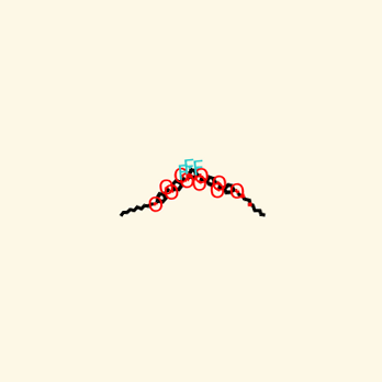 CCCCCCCCCCOc1ccc(C(=O)Oc2ccc(C(=O)Oc3cc(OC(=O)c4ccc(OC(=O)c5ccc(OCCCCCCCCCC)cc5)cc4)c(F)c(F)c3F)cc2)cc1